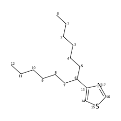 CCCCCCC(CCCCCC)c1cscn1